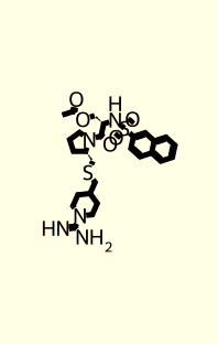 CC(=O)OC[C@H](NS(=O)(=O)c1ccc2ccccc2c1)C(=O)N1CCC[C@H]1CSCC1CCN(C(=N)N)CC1